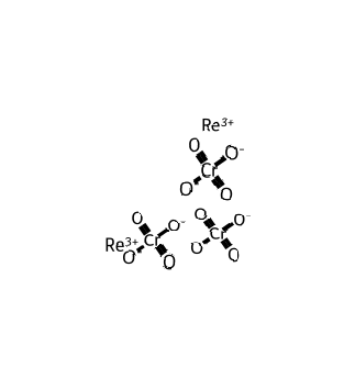 [O]=[Cr](=[O])([O-])[O-].[O]=[Cr](=[O])([O-])[O-].[O]=[Cr](=[O])([O-])[O-].[Re+3].[Re+3]